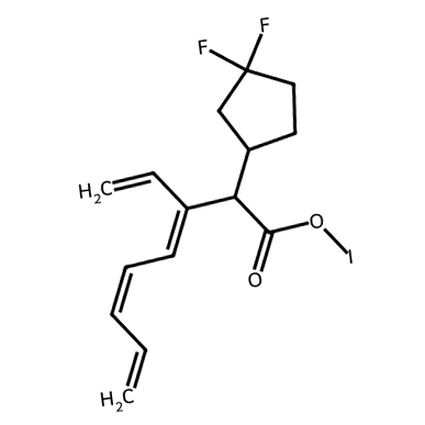 C=C/C=C\C=C(/C=C)C(C(=O)OI)C1CCC(F)(F)C1